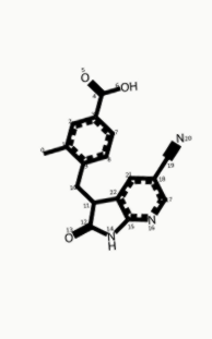 Cc1cc(C(=O)O)ccc1CC1C(=O)Nc2ncc(C#N)cc21